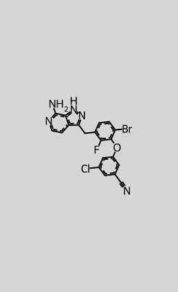 N#Cc1cc(Cl)cc(Oc2c(Br)ccc(Cc3n[nH]c4c(N)nccc34)c2F)c1